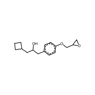 OC(Cc1ccc(OCC2CO2)cc1)CC1CCC1